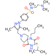 CCCCN1C(=O)[C@H](CC(C)C)NC(=O)C12CCN(Cc1c(C)nn(-c3ccc(S(=O)(=O)N(C)CCN(C)C)cc3)c1C)CC2